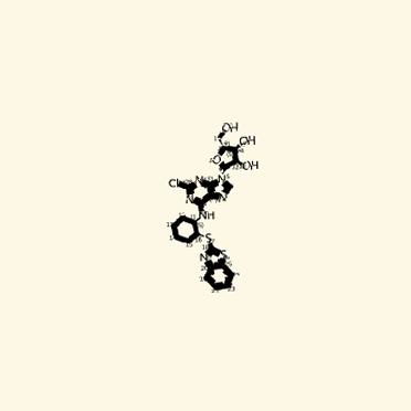 OC[C@H]1O[C@@H](n2cnc3c(N[C@H]4CCCC[C@H]4Sc4nc5ccccc5s4)nc(Cl)nc32)[C@H](O)[C@@H]1O